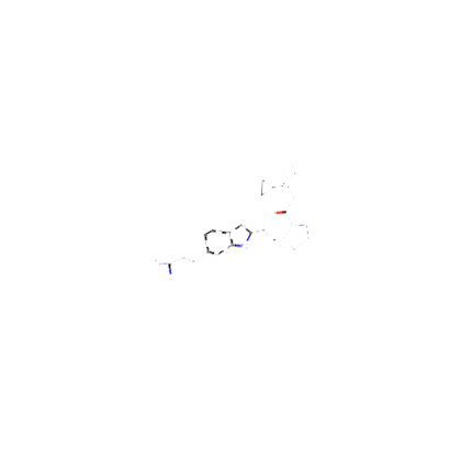 CCOC(=O)CN(CC(=O)N1CCC[C@H]1CCc1cc2ccc(CCC(=N)N)cc2[nH]1)C1CC1